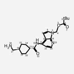 CC(C)(C)C(=O)OCn1ccc2c(NC(=O)[C@H]3CC[C@H](CN)CC3)ccnc21